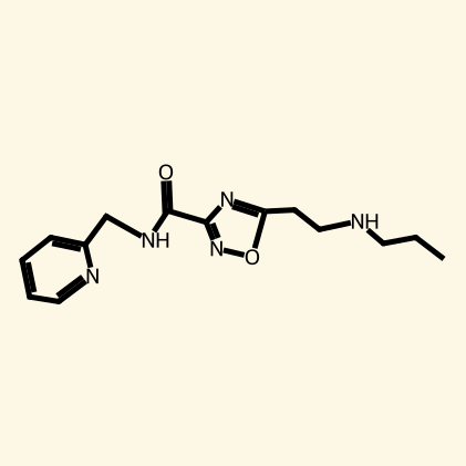 CCCNCCc1nc(C(=O)NCc2ccccn2)no1